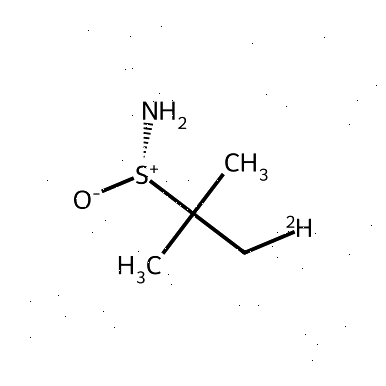 [2H]CC(C)(C)[S@@+](N)[O-]